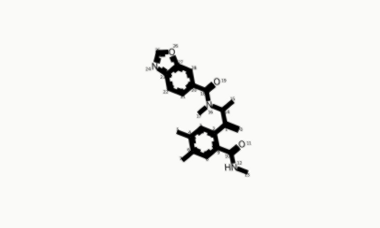 C=C(c1cc(C)c(C)cc1C(=O)NC)C(C)N(C)C(=O)c1ccc2ncoc2c1